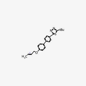 C/C=C/COc1ccc(-c2ccc(-c3nnc(CCCC)s3)cc2)cc1